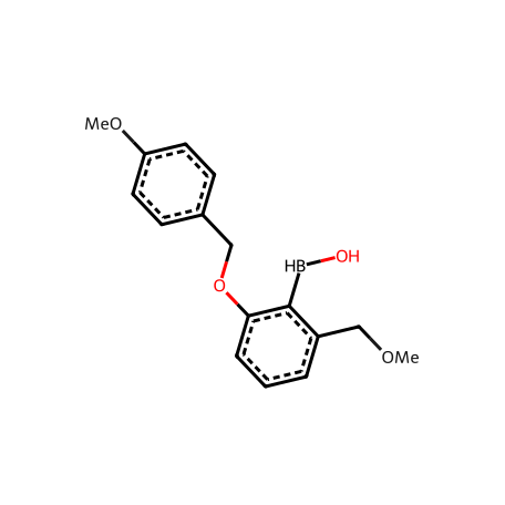 COCc1cccc(OCc2ccc(OC)cc2)c1BO